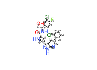 O=C(N[C@H](CO)c1ccc(F)c(Cl)c1)c1cc(-c2n[nH]c3ncc(-c4ccccc4Cl)cc23)c[nH]1